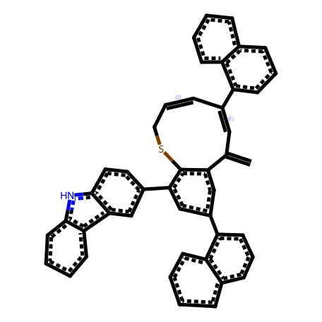 C=C1/C=C(c2cccc3ccccc23)\C=C/CSc2c1cc(-c1cccc3ccccc13)cc2-c1ccc2[nH]c3ccccc3c2c1